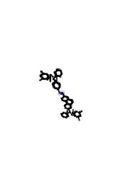 Cc1cc(C)cc(N(c2ccccc2)c2ccc(/C=C/c3ccc4c(ccc5cc(N(c6ccccc6)c6cc(C)cc(C)c6)ccc54)c3)cc2)c1